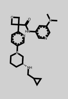 CN(C)c1cncc(NC(=O)C2(c3ccc(N4CCC[C@@H](NCC5CC5)C4)cn3)COC2)c1